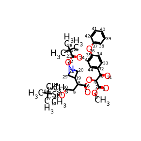 COC(=O)C(OC(=O)C(CCO[Si](C)(C)C(C)(C)C)C1CN(OC(=O)C(C)(C)C)C1)C(=O)c1ccc(Oc2ccccc2)cc1